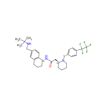 CC(C)(C)NCc1ccc2c(c1)CCC[C@H]2NC(=O)C[C@@H]1CCCCN1Sc1ccc(C(F)(F)C(F)(F)F)cc1